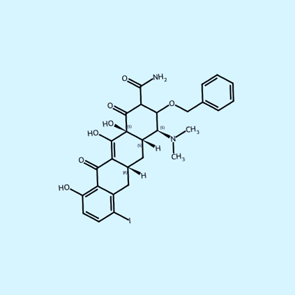 CN(C)[C@@H]1C(OCc2ccccc2)C(C(N)=O)C(=O)[C@@]2(O)C(O)=C3C(=O)c4c(O)ccc(I)c4C[C@H]3C[C@@H]12